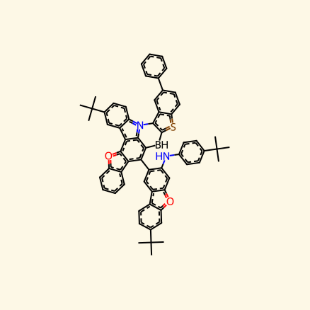 CC(C)(C)c1ccc(Nc2cc3oc4cc(C(C)(C)C)ccc4c3cc2-c2c3c4c(c5cc(C(C)(C)C)ccc5n4-c4c(sc5ccc(-c6ccccc6)cc45)B3)c3oc4ccccc4c23)cc1